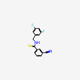 N#Cc1cccc(C(=S)NCc2cc(F)cc(F)c2)c1